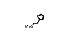 CSC[CH]c1cccs1